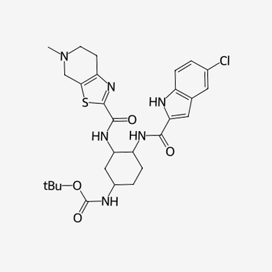 CN1CCc2nc(C(=O)NC3CC(NC(=O)OC(C)(C)C)CCC3NC(=O)c3cc4cc(Cl)ccc4[nH]3)sc2C1